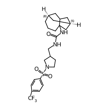 O=C(NCC1CCN(S(=O)(=O)c2ccc(C(F)(F)F)cc2)C1)NC12CCC[C@H]3CC1C[C@H](C3)C2